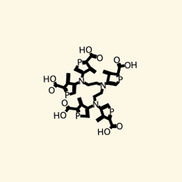 C=C1C(N(CCN(C2=CP=C(C(=O)O)C2=C)C2=CP=C(C(=O)O)C2=C)CCN(C2=CP=C(C(=O)O)C2=C)C2=CP=C(C(=O)O)C2=C)=CP=C1C(=O)O